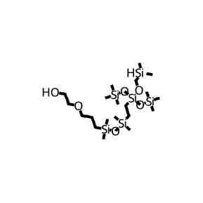 C[SiH](C)CO[Si](CC[Si](C)(C)O[Si](C)(C)CCCOCCO)(O[Si](C)(C)C)O[Si](C)(C)C